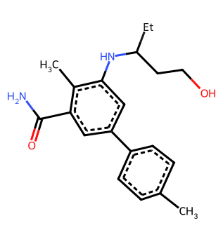 CCC(CCO)Nc1cc(-c2ccc(C)cc2)cc(C(N)=O)c1C